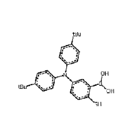 CC(C)(C)c1ccc(N(c2ccc(C(C)(C)C)cc2)c2ccc(S)c(B(O)O)c2)cc1